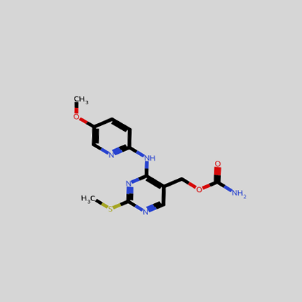 COc1ccc(Nc2nc(SC)ncc2COC(N)=O)nc1